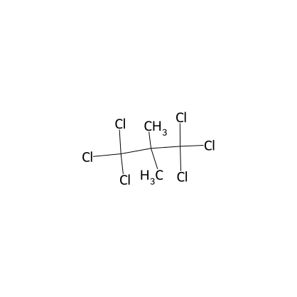 CC(C)(C(Cl)(Cl)Cl)C(Cl)(Cl)Cl